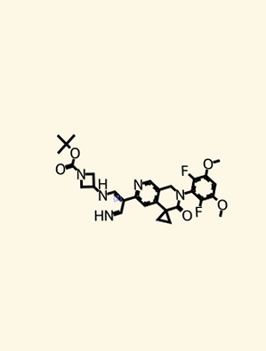 COc1cc(OC)c(F)c(N2Cc3cnc(/C(C=N)=C/NC4CN(C(=O)OC(C)(C)C)C4)cc3C3(CC3)C2=O)c1F